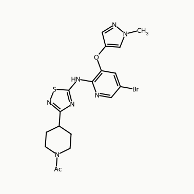 CC(=O)N1CCC(c2nsc(Nc3ncc(Br)cc3Oc3cnn(C)c3)n2)CC1